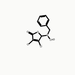 O=CN(Cc1ccccc1)C1OC(=O)C(Cl)=C1Cl